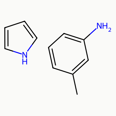 Cc1cccc(N)c1.c1cc[nH]c1